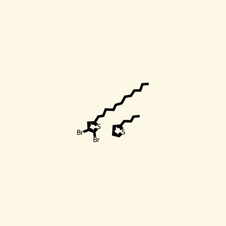 CCCCCCCCCCCCc1cc(Br)c(Br)s1.CCCCc1cccs1